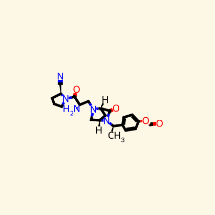 C[C@H](c1ccc(OC=O)cc1)N1C(=O)[C@@H]2C[C@H]1CN2C[C@H](N)C(=O)N1CCC[C@H]1C#N